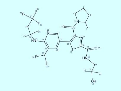 CC1CCCN1C(=O)c1nc(C(=O)NCC(C)(C)O)sc1-c1cnc(NC(C)(C)CC(F)(F)F)c(C(F)F)c1